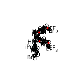 CC(C)Cc1cnn2c3c(c(=O)n(-c4ccc(-c5[nH]nnc5CCC(C)Cc5cnn6c7c(c(=O)n(-c8ccc(-c9[nH]nnc9CCC(C)Cc9cnn%10c%11c(c(=O)n(-c%12ccc(-c%13nncn%13C)cc%12)c9%10)CC(C)N(C(=O)c9ccc(Br)c(C(F)(F)F)c9)C%11)cc8)c56)CC(C)N(C(=O)c5ccc(Br)c(C(F)(F)F)c5)C7)cc4)c12)CC(C)N(C(=O)c1ccc(Br)c(Cl)c1)C3